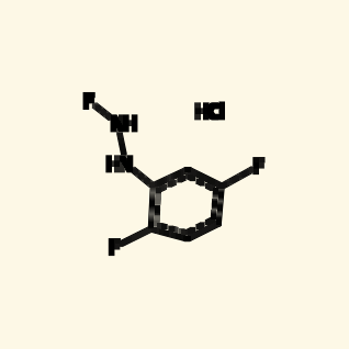 Cl.FNNc1cc(F)ccc1F